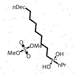 CCCCCCCCCCCCCCCCCC[N+](O)(O)CCC.COS(=O)(=O)OC